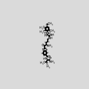 COc1cc(C)c(S(=O)(=O)NC(=N)NCCC[C@H](N)C(=O)c2nc3ccc(C(=O)N[C@H](C(N)=O)C(C)C)cc3s2)c(C)c1C